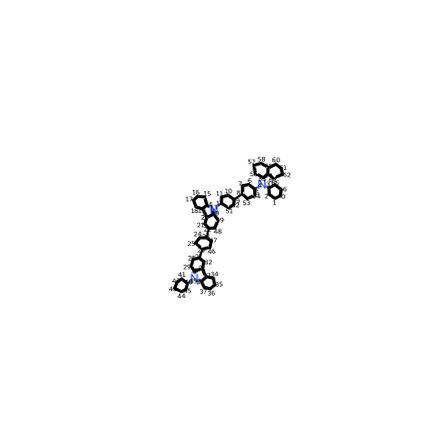 c1ccc(N(c2ccc(-c3ccc(-n4c5ccccc5c5cc(-c6ccc(-c7ccc8c(c7)c7ccccc7n8-c7ccccc7)cc6)ccc54)cc3)cc2)c2cccc3ccccc23)cc1